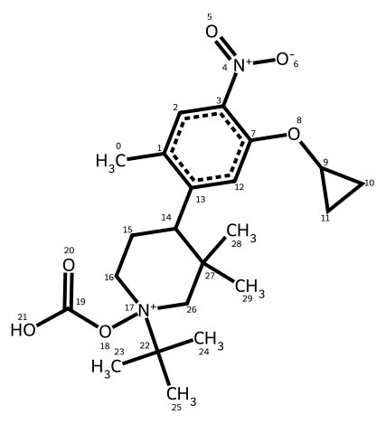 Cc1cc([N+](=O)[O-])c(OC2CC2)cc1C1CC[N+](OC(=O)O)(C(C)(C)C)CC1(C)C